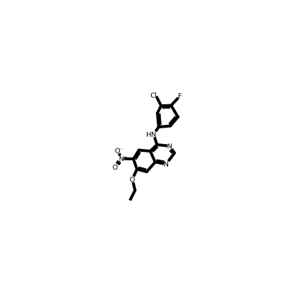 CCOc1cc2ncnc(Nc3ccc(F)c(Cl)c3)c2cc1[N+](=O)[O-]